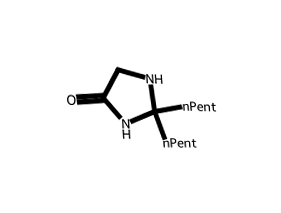 CCCCCC1(CCCCC)NCC(=O)N1